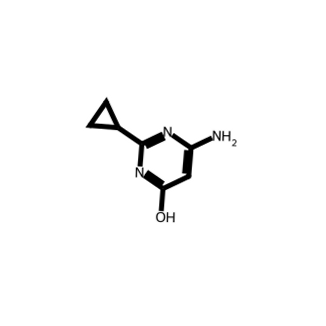 Nc1cc(O)nc(C2CC2)n1